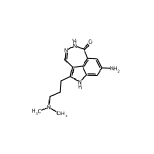 CN(C)CCCc1[nH]c2cc(N)cc3c2c1C=NNC3=O